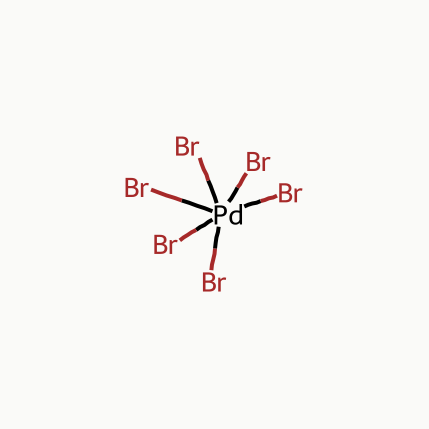 [Br][Pd]([Br])([Br])([Br])([Br])[Br]